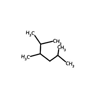 C[C](C)CC(C)C(C)C